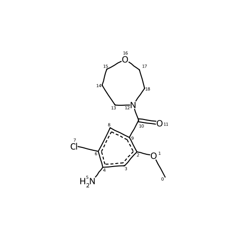 COc1cc(N)c(Cl)cc1C(=O)N1CCCOCC1